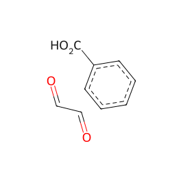 O=C(O)c1ccccc1.O=CC=O